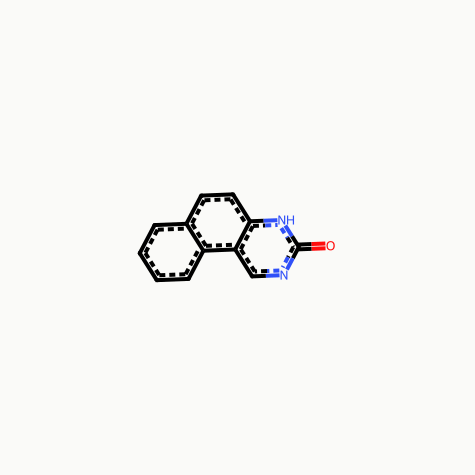 O=c1ncc2c(ccc3ccccc32)[nH]1